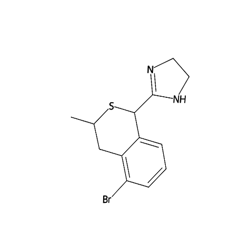 CC1Cc2c(Br)cccc2C(C2=NCCN2)S1